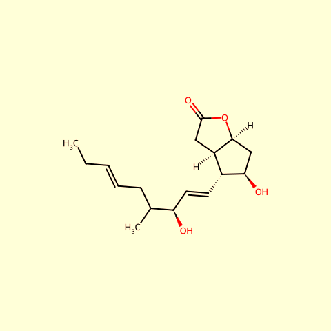 CCC=CCC(C)[C@H](O)C=C[C@@H]1[C@H]2CC(=O)O[C@H]2C[C@H]1O